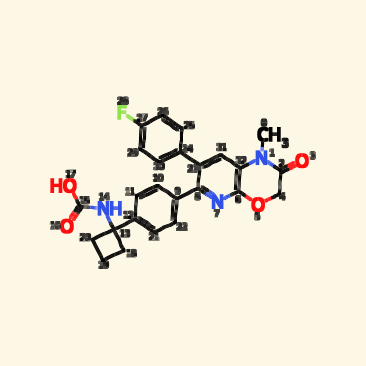 CN1C(=O)COc2nc(-c3ccc(C4(NC(=O)O)CCC4)cc3)c(-c3ccc(F)cc3)cc21